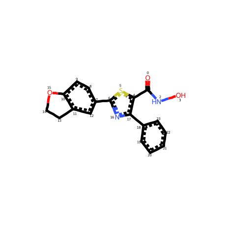 O=C(NO)c1sc(-c2ccc3c(c2)CCO3)nc1-c1ccccc1